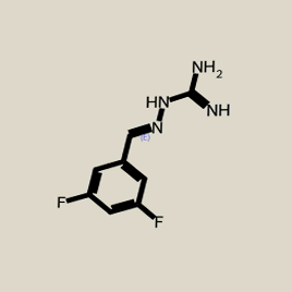 N=C(N)N/N=C/c1cc(F)cc(F)c1